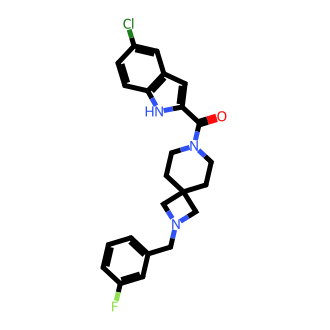 O=C(c1cc2cc(Cl)ccc2[nH]1)N1CCC2(CC1)CN(Cc1cccc(F)c1)C2